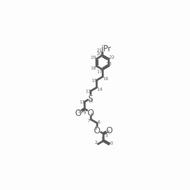 C=C(C)C(=O)OCCOC(=O)CSCCCCc1ccc(C(C)C)cc1